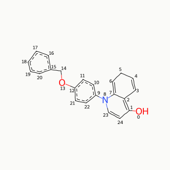 OC1=C2C=CCC=C2N(c2ccc(OCc3ccccc3)cc2)C=C1